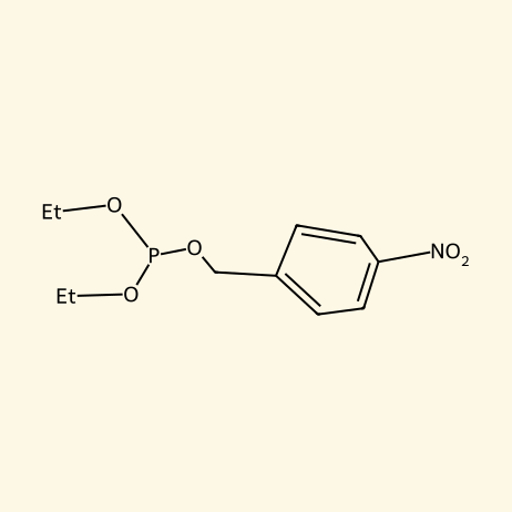 CCOP(OCC)OCc1ccc([N+](=O)[O-])cc1